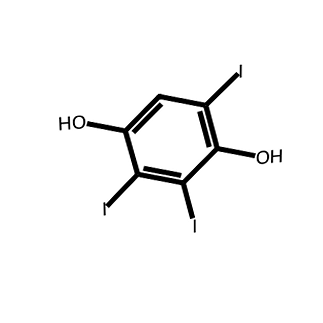 Oc1cc(I)c(O)c(I)c1I